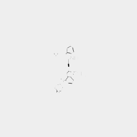 CCN1CC[C@@H](Nc2cccc3c2cc(C#CCNc2ccc(C(=O)O)cc2OC)n3CC(F)(F)F)[C@@H](F)C1